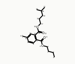 CCCCOC(=O)c1ccc(I)cc1C(=O)OCCCC(C)C